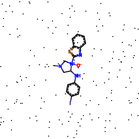 CN1CC(Nc2ccc(I)cc2)[N+]([O-])(c2nc3ccccc3s2)C1